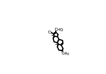 CC(=O)O[C@@H]1CC[C@@]2(C)C(=CCC3C2CC[C@]2(C)C(Cl)=C(C=O)CC32)C1